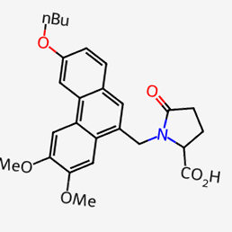 CCCCOc1ccc2cc(CN3C(=O)CCC3C(=O)O)c3cc(OC)c(OC)cc3c2c1